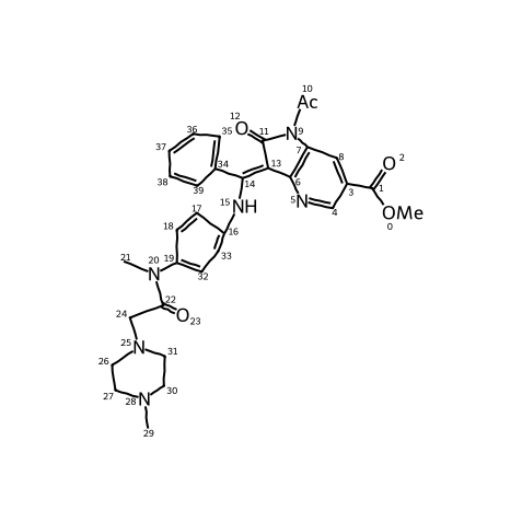 COC(=O)c1cnc2c(c1)N(C(C)=O)C(=O)C2=C(Nc1ccc(N(C)C(=O)CN2CCN(C)CC2)cc1)c1ccccc1